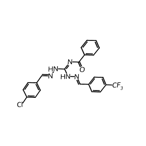 O=C(N=C(NN=Cc1ccc(Cl)cc1)NN=Cc1ccc(C(F)(F)F)cc1)c1ccccc1